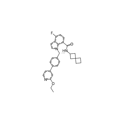 CCOc1cc(-c2ccc([C@@H](C)n3ccc4c(F)ccc(C(=O)NC5CC6(CCC6)C5)c43)cc2)ccn1